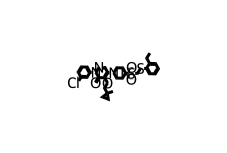 CCc1ccccc1SCS(=O)(=O)N1CCN(c2cnn(-c3cccc(Cl)c3)c(=O)c2OCC2(C)CC2)CC1